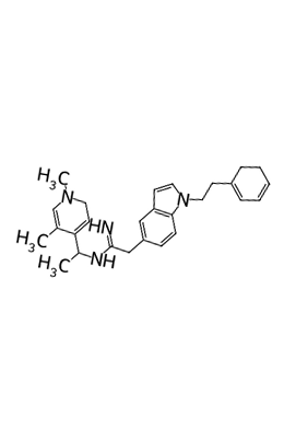 CC1=CN(C)CC=C1C(C)NC(=N)Cc1ccc2c(ccn2CCC2=CC=CCC2)c1